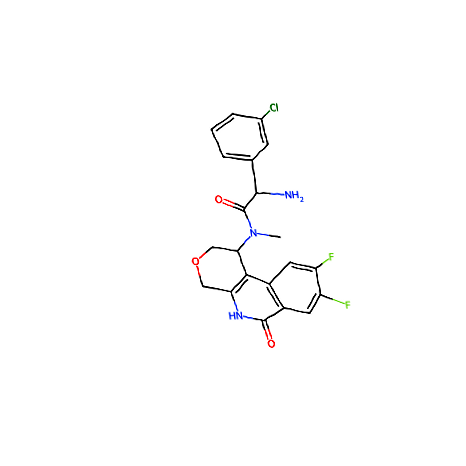 CN(C(=O)C(N)c1cccc(Cl)c1)C1COCc2[nH]c(=O)c3cc(F)c(F)cc3c21